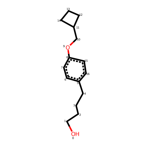 OCCCCc1ccc(OCC2CCC2)cc1